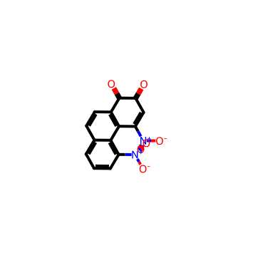 O=C1C=C([N+](=O)[O-])c2c(ccc3cccc([N+](=O)[O-])c23)C1=O